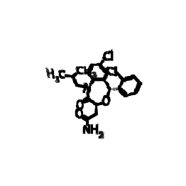 CC(C)CN1C(=O)[C@H](CC(N)=O)O[C@@H](c2ccccc2Cl)c2cc(Cl)ccc21